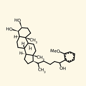 COc1ccccc1C(O)CCCC(C)[C@H]1CC[C@H]2[C@@H]3CC[C@H]4[C@@H](O)[C@@H](O)CC[C@]4(C)[C@H]3CC[C@]12C